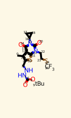 Cc1c(CNNC(=O)OC(C)(C)C)sc2c1c(=O)n(C1CC1)c(=O)n2CCSC(F)(F)F